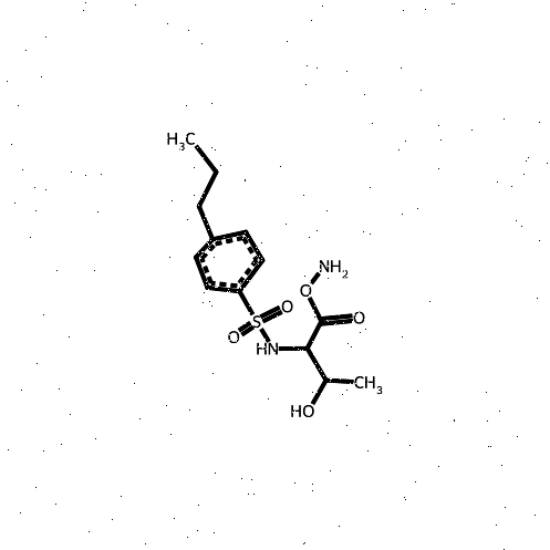 CCCc1ccc(S(=O)(=O)NC(C(=O)ON)C(C)O)cc1